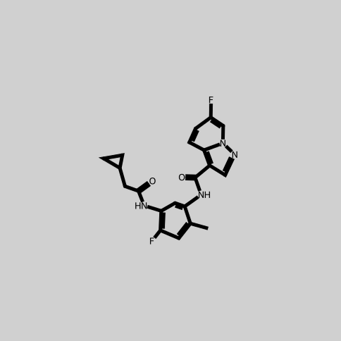 Cc1cc(F)c(NC(=O)CC2CC2)cc1NC(=O)c1cnn2cc(F)ccc12